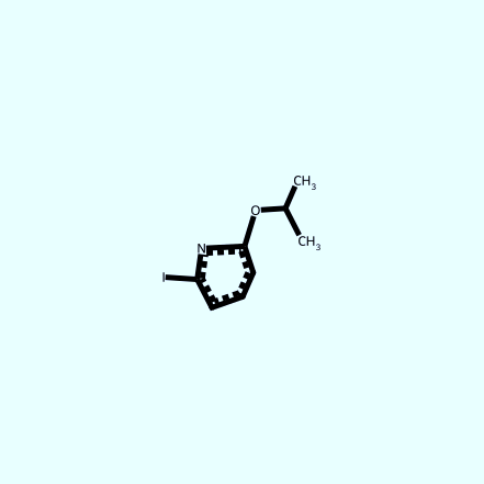 CC(C)Oc1cccc(I)n1